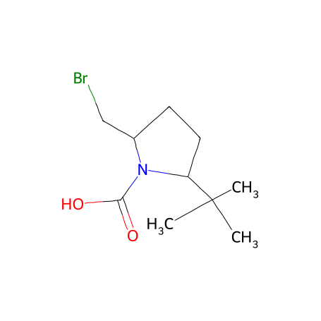 CC(C)(C)C1CCC(CBr)N1C(=O)O